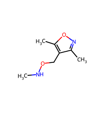 CNOCc1c(C)noc1C